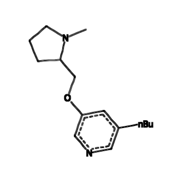 CCCCc1cncc(OCC2CCCN2C)c1